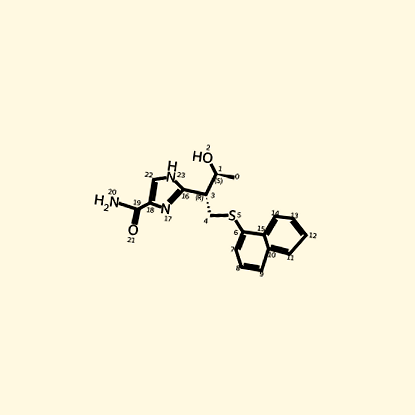 C[C@H](O)[C@H](CSc1cccc2ccccc12)c1nc(C(N)=O)c[nH]1